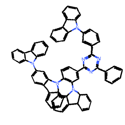 C1=CC2c3ccccc3N(c3cc(-c4nc(-c5ccccc5)nc(-c5cccc(-n6c7ccccc7c7ccccc76)c5)n4)ccc3-n3c4ccccc4c4ccc(-n5c6ccccc6c6ccccc65)cc43)C2C=C1